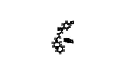 Cl.Cl.Cl.Clc1ccc(NCCCCN2CCN3CCCCC3C2)cc1